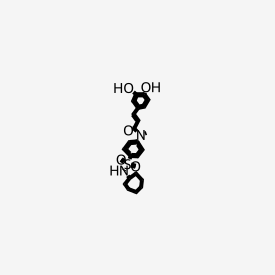 CN(C(=O)C=Cc1ccc(O)c(O)c1)c1ccc(S(=O)(=O)NC2CCCCCC2)cc1